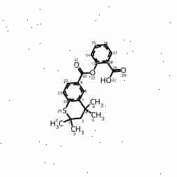 CC1(C)CC(C)(C)c2cc(C(=O)Oc3ccccc3C(=O)O)ccc2S1